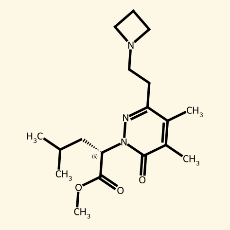 COC(=O)[C@H](CC(C)C)n1nc(CCN2CCC2)c(C)c(C)c1=O